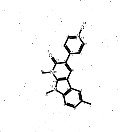 Cc1ccc2c(c1)c1cc(-c3cc[n+]([O-])cc3)c(=O)n(C)c1n2C